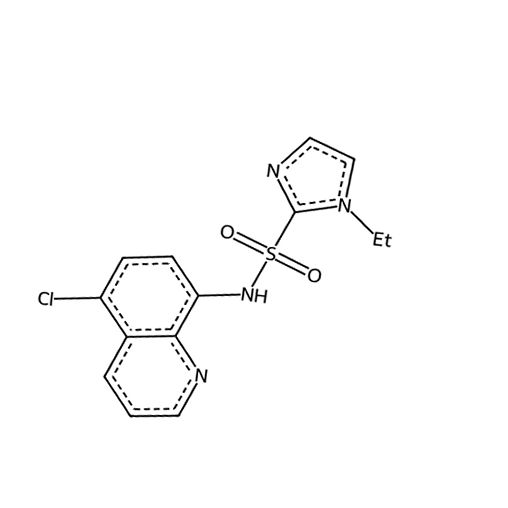 CCn1ccnc1S(=O)(=O)Nc1ccc(Cl)c2cccnc12